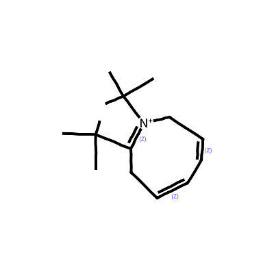 CC(C)(C)/C1=[N+](\C(C)(C)C)C/C=C\C=C/C1